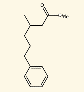 COC(=O)CC(C)CCCc1ccccc1